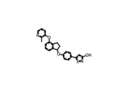 Cc1ncccc1Oc1cccc2c1CCC2Oc1ccc(-c2cc(O)ns2)cc1